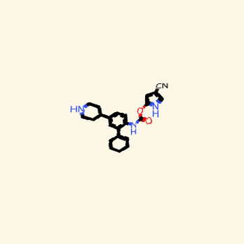 N#Cc1c[nH]c(OC(=O)Nc2ccc(C3CCNCC3)cc2C2=CCCCC2)c1